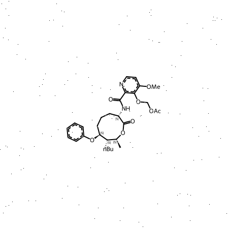 CCCC[C@H]1[C@H](C)OC(=O)[C@@H](NC(=O)c2nccc(OC)c2OCOC(C)=O)CCC[C@@H]1Oc1ccccc1